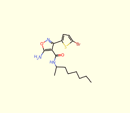 CCCCCCC(C)NC(=O)c1c(-c2ccc(Br)s2)noc1N